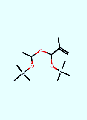 C=C(C)C(OC(C)O[Si](C)(C)C)O[Si](C)(C)C